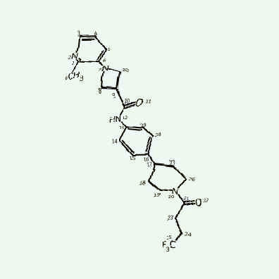 Cc1ncccc1N1CC(C(=O)Nc2ccc(C3CCN(C(=O)CCC(F)(F)F)CC3)cc2)C1